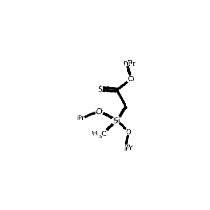 CCCOC(=S)C[Si](C)(OC(C)C)OC(C)C